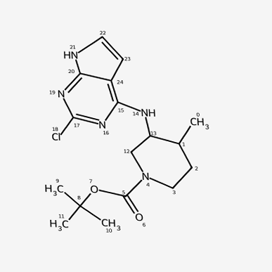 CC1CCN(C(=O)OC(C)(C)C)CC1Nc1nc(Cl)nc2[nH]ccc12